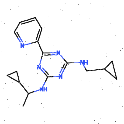 CC(Nc1nc(NCC2CC2)nc(-c2ccccn2)n1)C1CC1